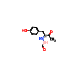 CC(=O)[C@H](Cc1ccc(O)cc1)NBC=O